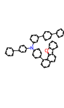 c1ccc(-c2ccc(-c3cccc(N(c4ccc(-c5ccccc5)cc4)c4ccc(-c5cccc6ccc7c8ccccc8oc7c56)cc4)c3)cc2)cc1